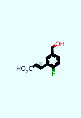 O=C(O)/C=C/c1cc(CO)ccc1F